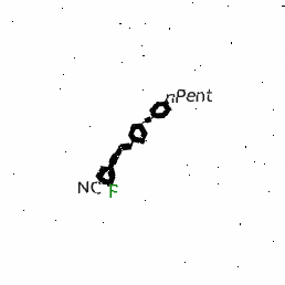 CCCCC[C@H]1CC[C@H](CC[C@H]2CC[C@H](C=CC#Cc3ccc(C#N)c(F)c3)CC2)CC1